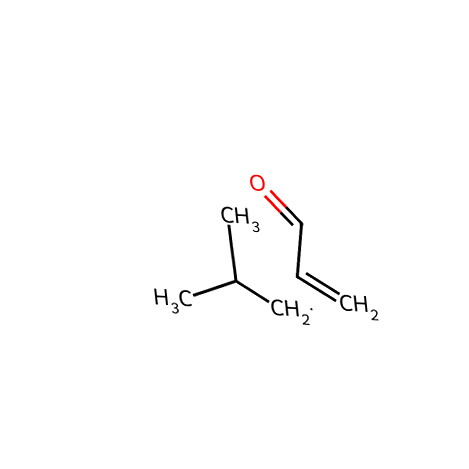 C=CC=O.[CH2]C(C)C